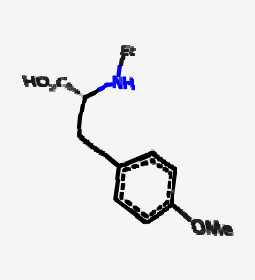 CCN[C@H](Cc1ccc(OC)cc1)C(=O)O